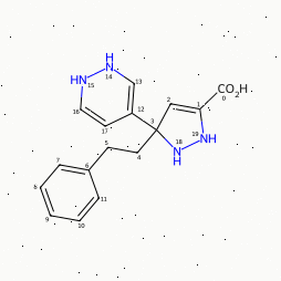 O=C(O)C1=CC(CCc2ccccc2)(C2=CNNC=C2)NN1